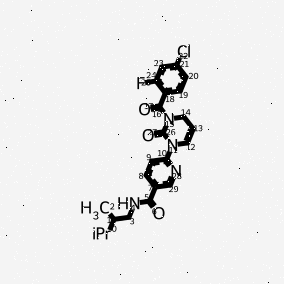 CC(C)C(C)CNC(=O)c1ccc(N2C=CCN(C(=O)c3ccc(Cl)cc3F)C2=O)nc1